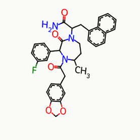 CC1CCN(C(Cc2cccc3ccccc23)C(N)=O)C(=O)C(c2cccc(F)c2)N1C(=O)Cc1ccc2c(c1)OCO2